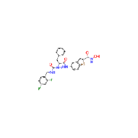 O=C(NCc1ccc(F)cc1F)N[C@@H](Cc1ccccc1)C(=O)Nc1ccc2sc(C(=O)NO)cc2c1